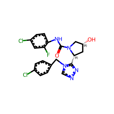 O=C(Nc1ccc(Cl)cc1F)N1C[C@H](O)C[C@@H]1c1nncn1Cc1ccc(Cl)cc1